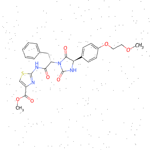 COCCOc1ccc([C@H]2NC(=O)N([C@@H](Cc3ccccc3)C(=O)Nc3nc(C(=O)OC)cs3)C2=O)cc1